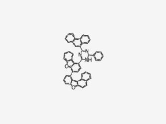 c1ccc(C2N=C(c3cc4ccccc4c4ccccc34)N=C(c3ccc(-c4cccc5oc6ccc7ccccc7c6c45)c4oc5ccccc5c34)N2)cc1